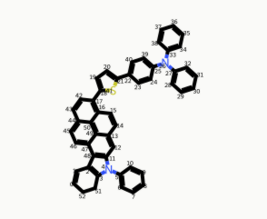 C1=Cc2c(n(-c3ccccc3)c3cc4ccc5c(-c6ccc(-c7ccc(N(c8ccccc8)c8ccccc8)cc7)s6)ccc6ccc(c23)c4c65)CC1